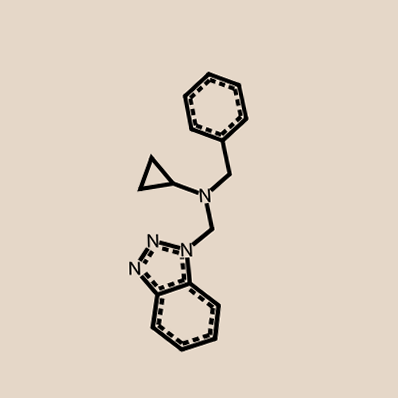 c1ccc(CN(Cn2nnc3ccccc32)C2CC2)cc1